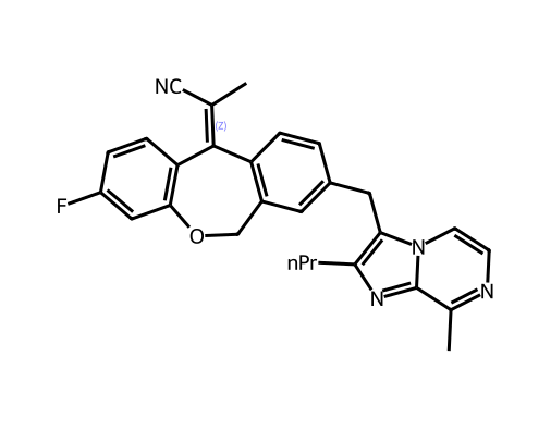 CCCc1nc2c(C)nccn2c1Cc1ccc2c(c1)COc1cc(F)ccc1/C2=C(/C)C#N